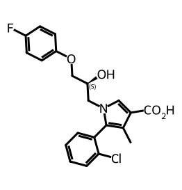 Cc1c(C(=O)O)cn(C[C@H](O)COc2ccc(F)cc2)c1-c1ccccc1Cl